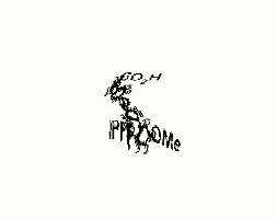 COc1ccc(F)c(-c2ccc(COc3ccc4c(c3)C[C@H]4CC(=O)O)cc2CC(C)C)c1